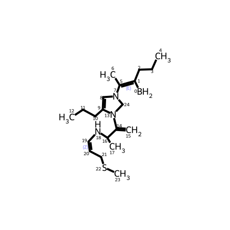 B/C(CCC)=C(/C)N1C=C(CCC)N(C(=C)C(C)N/C=C\CSC)C1